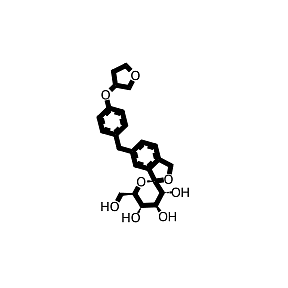 OC[C@H]1O[C@]2(OCc3ccc(Cc4ccc(OC5CCOC5)cc4)cc32)[C@H](O)[C@@H](O)[C@@H]1O